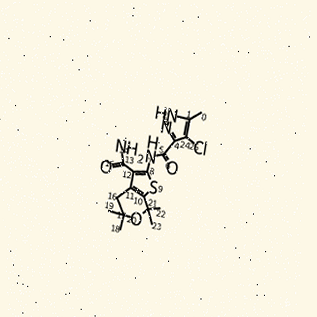 Cc1[nH]nc(C(=O)Nc2sc3c(c2C(N)=O)CC(C)(C)OC3(C)C)c1Cl